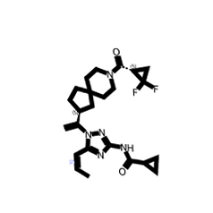 C=C([C@H]1CCC2(CCN(C(=O)[C@@H]3CC3(F)F)CC2)C1)n1nc(NC(=O)C2CC2)nc1/C=C\C